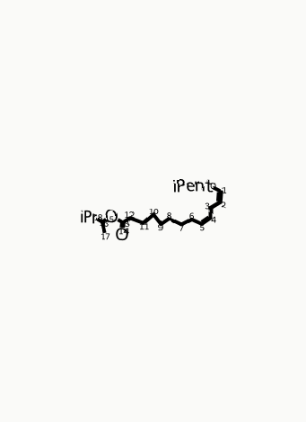 CCCC(C)/C=C\C/C=C\CCCCCCCC(=O)OC(C)C(C)C